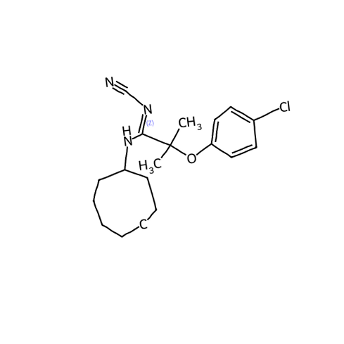 CC(C)(Oc1ccc(Cl)cc1)/C(=N/C#N)NC1CCCCCCC1